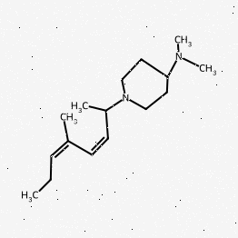 CC/C=C(C)\C=C/C(C)N1CCC(N(C)C)CC1